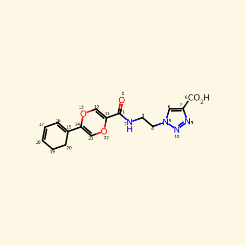 O=C(NCCn1cc(C(=O)O)nn1)C1=COC(C2=CC=CCC2)=CO1